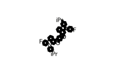 CC(C)c1ccc(N(c2ccc(F)cc2)c2cc3oc4cc5oc6cc(N(c7ccc(F)cc7)c7ccc(C(C)C)cc7)c7ccccc7c6c5cc4c3c3ccccc23)cc1